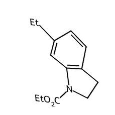 CCOC(=O)N1CCc2ccc(CC)cc21